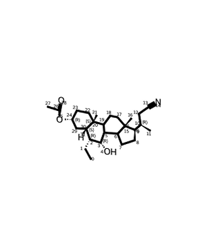 CC[C@H]1[C@@H](O)C2C3CC[C@H]([C@H](C)CC#N)[C@@]3(C)CCC2[C@@]2(C)CC[C@@H](OC(C)=O)C[C@@H]12